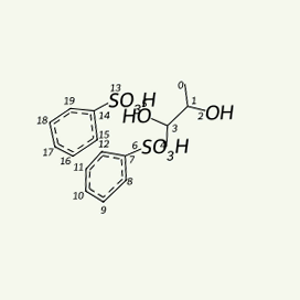 CC(O)C(C)O.O=S(=O)(O)c1ccccc1.O=S(=O)(O)c1ccccc1